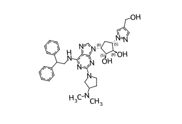 CN(C)C1CCN(c2nc(NCC(c3ccccc3)c3ccccc3)c3ncn([C@@H]4C[C@H](n5cc(CO)cn5)[C@@H](O)[C@H]4O)c3n2)C1